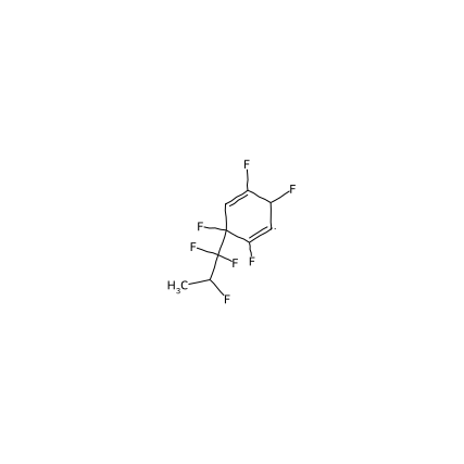 CC(F)C(F)(F)C1(F)C=C(F)C(F)[C]=C1F